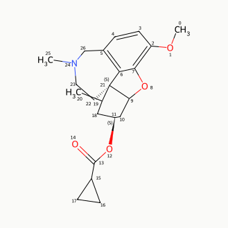 COc1ccc2c3c1OC1C[C@@H](OC(=O)C4CC4)CC(C)[C@@]31CCN(C)C2